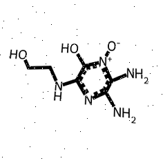 Nc1nc(NCCO)c(O)[n+]([O-])c1N